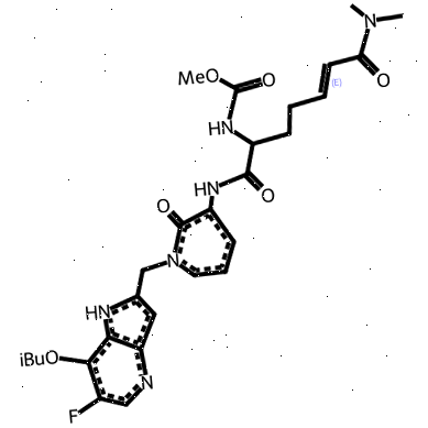 COC(=O)NC(CC/C=C/C(=O)N(C)C)C(=O)Nc1cccn(Cc2cc3ncc(F)c(OCC(C)C)c3[nH]2)c1=O